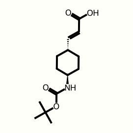 CC(C)(C)OC(=O)N[C@H]1CC[C@H](C=CC(=O)O)CC1